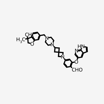 CC1(C)COc2cc(CN3CCN(C4CC5(C4)CN(c4ccc(C=O)c(Oc6cnc7[nH]ccc7c6)c4)C5)CC3)ccc21